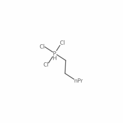 CCCCC[PH](Cl)(Cl)Cl